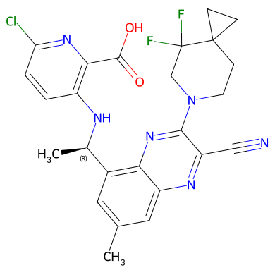 Cc1cc([C@@H](C)Nc2ccc(Cl)nc2C(=O)O)c2nc(N3CCC4(CC4)C(F)(F)C3)c(C#N)nc2c1